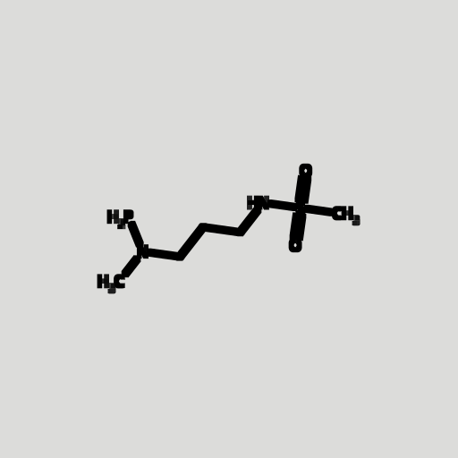 CN(P)CCCNS(C)(=O)=O